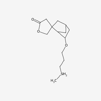 C[SiH2]CCCOC1CC2CC1C1(COC(=O)C1)C2